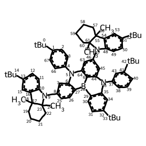 CC(C)(C)c1ccc(N2c3cc(N4c5ccc(C(C)(C)C)cc5C5(C)CCCCC45C)ccc3B3c4ccc(C(C)(C)C)cc4N(c4cccc(C(C)(C)C)c4)c4cc(N5c6ccc(C(C)(C)C)cc6C6(C)CCCCC56C)cc2c43)cc1